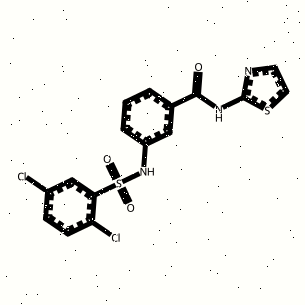 O=C(Nc1nccs1)c1cccc(NS(=O)(=O)c2cc(Cl)ccc2Cl)c1